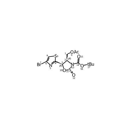 CC(=O)OC[C@@H]1[C@H](c2nc(Br)cs2)OS(=O)N1C(=O)OC(C)(C)C